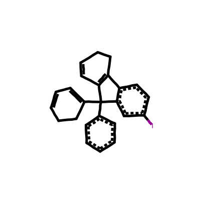 Ic1ccc2c(c1)C(C1=CC=CCC1)(c1ccccc1)C1=C2CCC=C1